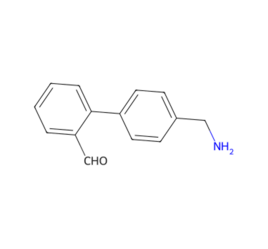 NCc1ccc(-c2ccccc2C=O)cc1